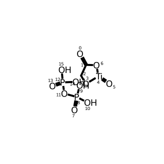 O=C1C[O][Ti](=[O])[O]1.O=P(O)(O)OP(=O)(O)O